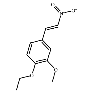 CCOc1ccc(/C=C/[N+](=O)[O-])cc1OC